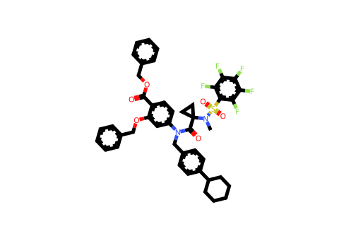 CN(C1(C(=O)N(Cc2ccc(C3CCCCC3)cc2)c2ccc(C(=O)OCc3ccccc3)c(OCc3ccccc3)c2)CC1)S(=O)(=O)c1c(F)c(F)c(F)c(F)c1F